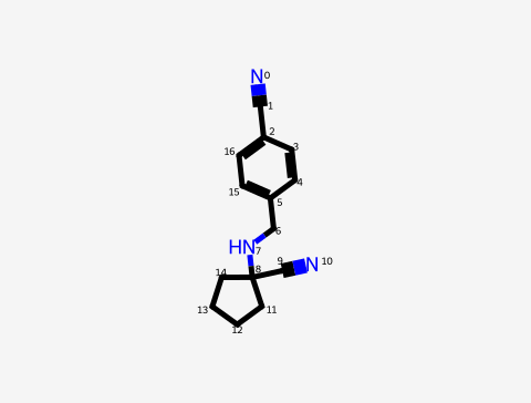 N#Cc1ccc(CNC2(C#N)CCCC2)cc1